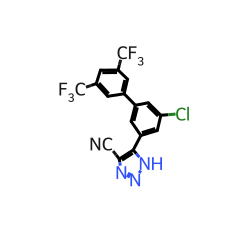 N#Cc1nn[nH]c1-c1cc(Cl)cc(-c2cc(C(F)(F)F)cc(C(F)(F)F)c2)c1